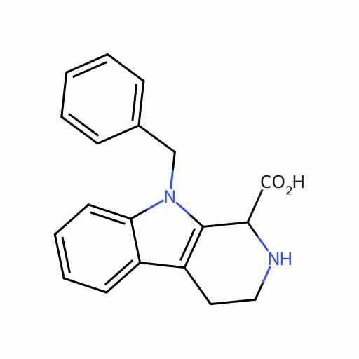 O=C(O)C1NCCc2c1n(Cc1ccccc1)c1ccccc21